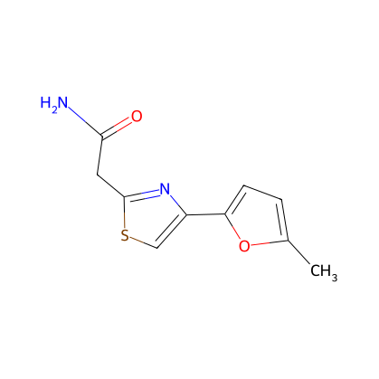 Cc1ccc(-c2csc(CC(N)=O)n2)o1